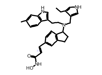 CCc1c[nH]cc1CN(CCc1c[nH]c2cc(C)ccc12)C1CCc2cc(/C=C/C(=O)NO)ccc21